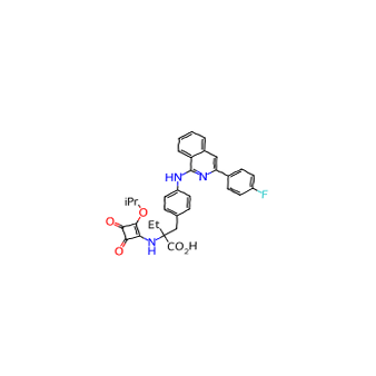 CCC(Cc1ccc(Nc2nc(-c3ccc(F)cc3)cc3ccccc23)cc1)(Nc1c(OC(C)C)c(=O)c1=O)C(=O)O